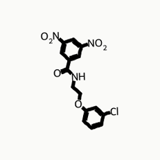 O=C(NCCOc1cccc(Cl)c1)c1cc([N+](=O)[O-])cc([N+](=O)[O-])c1